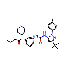 CCCC(=O)C(c1cccc(NC(=O)Nc2cc(C(C)(C)C)nn2-c2ccc(C)cc2)c1)C1CCNCC1